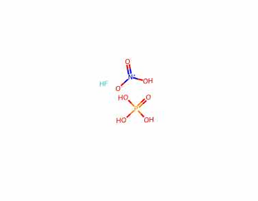 F.O=P(O)(O)O.O=[N+]([O-])O